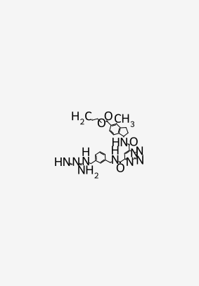 C=CCOC(=O)c1ccc2c(c1C)CC[C@@H]2NC(=O)c1cc(C(=O)NCc2cccc(CN/C(N)=N/C=N)c2)nc2ncnn12